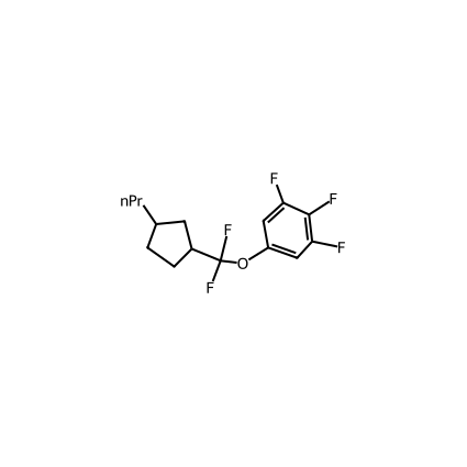 CCCC1CCC(C(F)(F)Oc2cc(F)c(F)c(F)c2)C1